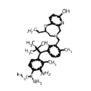 CCC1CN(Cc2cc(C(c3ccc(N(C)N)c(N)c3C)C(C)(C)C)ccc2C)Cc2nc(O)ccc2O1